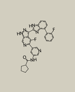 O=C(Nc1cncc(-c2ncc3[nH]nc(-c4nc5c(-c6ccccc6F)cccc5[nH]4)c3c2F)c1)C1CCCC1